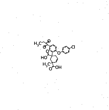 CCS(=O)(=O)c1ccc(Oc2ccc(Cl)cc2)c(C2(C(=O)O)CC=CC(C)(C(=O)O)C2)c1